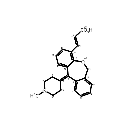 CN1CCC(=C2c3ccccc3COc3c(/C=C/C(=O)O)cccc32)CC1